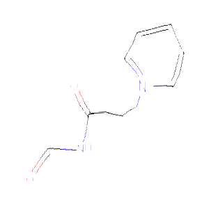 O=[C]NC(=O)C[n+]1ccccc1